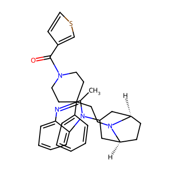 Cc1nc2ccccc2n1C1C[C@H]2CC[C@@H](C1)N2CCC1(c2ccccc2)CCN(C(=O)c2ccsc2)CC1